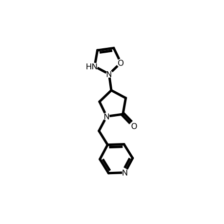 O=C1CC(N2NC=CO2)CN1Cc1ccncc1